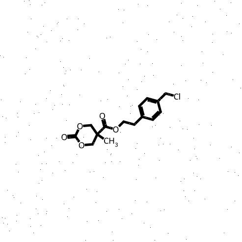 CC1(C(=O)OCCc2ccc(CCl)cc2)COC(=O)OC1